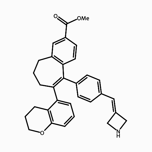 COC(=O)c1ccc2c(c1)CCCC(c1cccc3c1CCCO3)=C2c1ccc(C=C2CNC2)cc1